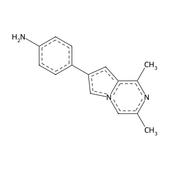 Cc1cn2cc(-c3ccc(N)cc3)cc2c(C)n1